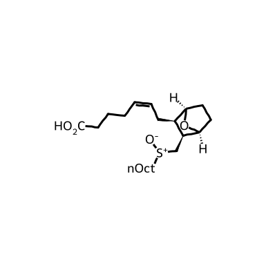 CCCCCCCC[S+]([O-])C[C@H]1[C@@H](C/C=C\CCCC(=O)O)[C@H]2CC[C@@H]1O2